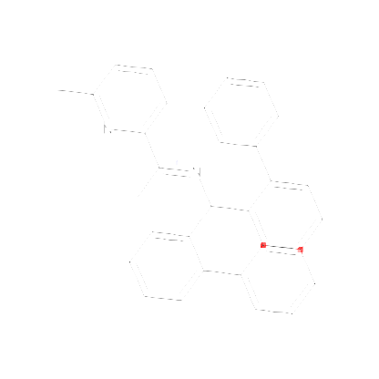 C/C(=N\C(c1ccccc1-c1ccccc1)c1ccccc1-c1ccccc1)c1cccc(C)n1